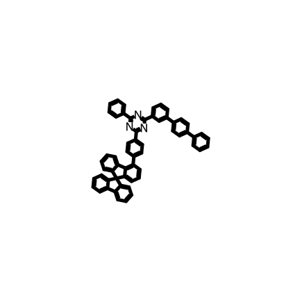 c1ccc(-c2ccc(-c3cccc(-c4nc(-c5ccccc5)nc(-c5ccc(-c6cccc7c6-c6ccccc6C76c7ccccc7-c7ccccc76)cc5)n4)c3)cc2)cc1